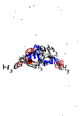 CCc1cc(CNCS(C)(=O)=O)ncc1N(C)c1cc2c(ncn2C)c(C(=O)NCc2ccc(OC)cc2OC)n1